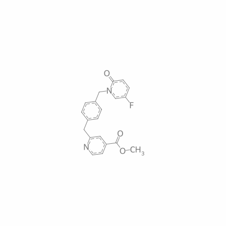 COC(=O)c1ccnc(Cc2ccc(Cn3cc(F)ccc3=O)cc2)c1